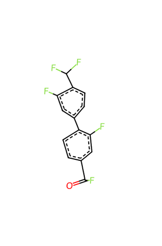 O=C(F)c1ccc(-c2ccc(C(F)F)c(F)c2)c(F)c1